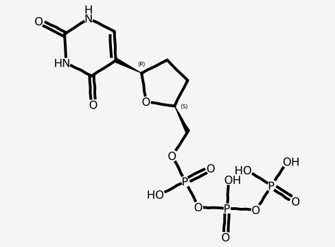 O=c1[nH]cc([C@H]2CC[C@@H](COP(=O)(O)OP(=O)(O)OP(=O)(O)O)O2)c(=O)[nH]1